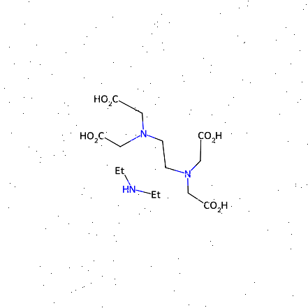 CCNCC.O=C(O)CN(CCN(CC(=O)O)CC(=O)O)CC(=O)O